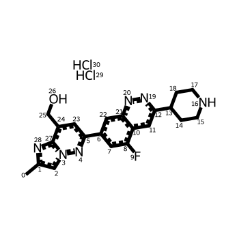 Cc1cn2nc(-c3cc(F)c4cc(C5CCNCC5)nnc4c3)cc(CO)c2n1.Cl.Cl